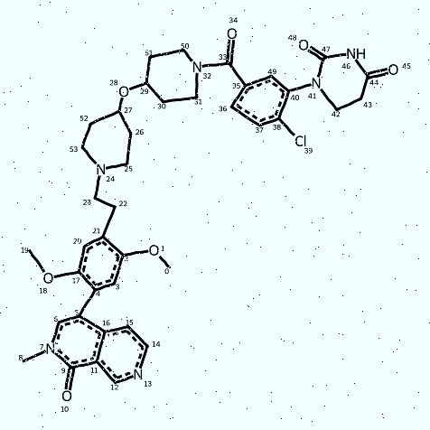 COc1cc(-c2cn(C)c(=O)c3cnccc23)c(OC)cc1CCN1CCC(OC2CCN(C(=O)c3ccc(Cl)c(N4CCC(=O)NC4=O)c3)CC2)CC1